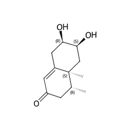 C[C@@H]1CC(=O)C=C2C[C@@H](O)[C@@H](O)C[C@]21C